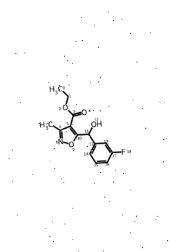 CCOC(=O)c1c(C)noc1C(O)c1cccc(F)c1